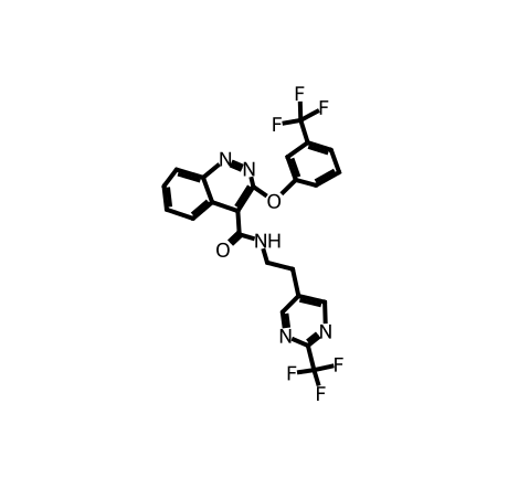 O=C(NCCc1cnc(C(F)(F)F)nc1)c1c(Oc2cccc(C(F)(F)F)c2)nnc2ccccc12